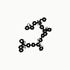 C1=c2oc3c(-c4ccc(-c5ccc(-c6cc(-c7ccccn7)nc(-c7ccc(-c8ccc9c(ccc%10c9nc(-c9ccc(-c%11nc(Cc%12ccccc%12)nc(-c%12cccc(-c%13cccc%14c%13COc%13ccccc%13-%14)c%12)n%11)cc9)c9oc%11ccccc%11c9%10)c8)cn7)c6)cc5)cc4)nc4c5ccccc5ccc4c3c2=CCC1